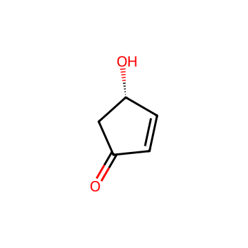 O=C1C=C[C@@H](O)C1